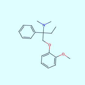 CCC(COc1ccccc1OC)(c1ccccc1)N(C)C